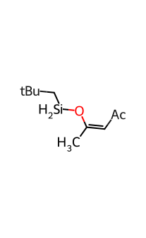 CC(=O)C=C(C)O[SiH2]CC(C)(C)C